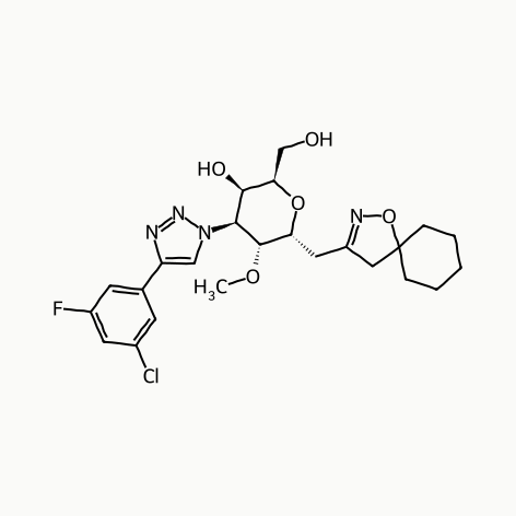 CO[C@@H]1[C@@H](n2cc(-c3cc(F)cc(Cl)c3)nn2)[C@@H](O)[C@@H](CO)O[C@@H]1CC1=NOC2(CCCCC2)C1